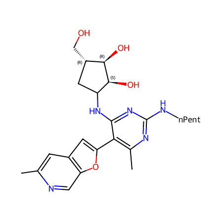 CCCCCNc1nc(C)c(-c2cc3cc(C)ncc3o2)c(NC2C[C@H](CO)[C@@H](O)[C@H]2O)n1